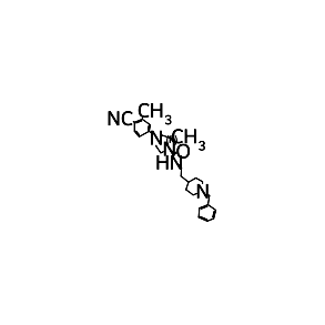 Cc1cc(N2CCN(C(=O)NCCC3CCN(Cc4ccccc4)CC3)[C@H](C)C2)ccc1C#N